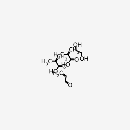 C=C(C)C(=O)O.C=C(C)C(=O)O.C=CC=O.OCCO